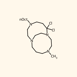 CCCCCCCCN1CCN2CCCN(C)CCN(CC2)C(Cl)(Cl)CC1